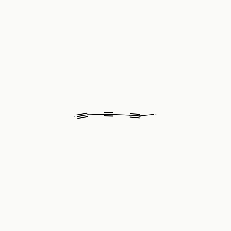 [C]#CC#CC#C[CH2]